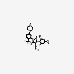 COc1cc(F)c(-c2c(N)c(=O)n(-c3nc(N4CCN(C)CC4)ccc3C(F)(F)F)n2C)c(F)c1